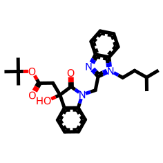 CC(C)CCn1c(CN2C(=O)C(O)(CC(=O)OC(C)(C)C)c3ccccc32)nc2ccccc21